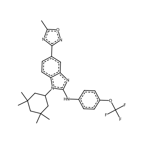 Cc1nc(-c2ccc3c(c2)nc(Nc2ccc(OC(F)(F)F)cc2)n3C2CC(C)(C)CC(C)(C)C2)no1